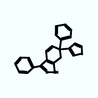 C1=CC(c2ccccc2)(c2ccsc2)Cc2[nH]nc(-c3ccccc3)c21